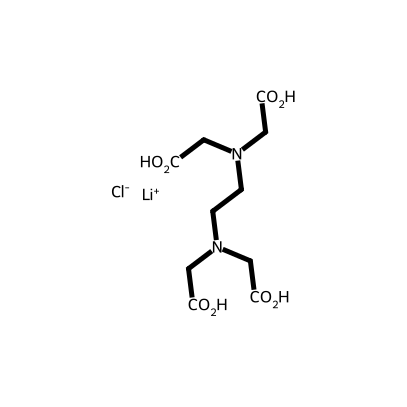 O=C(O)CN(CCN(CC(=O)O)CC(=O)O)CC(=O)O.[Cl-].[Li+]